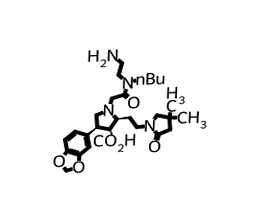 CCCCN(CCN)C(=O)CN1C[C@H](c2ccc3c(c2)OCO3)[C@@H](C(=O)O)[C@@H]1CCN1CC(C)(C)CC1=O